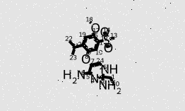 CCC1(N)N=C(N)C(Oc2cc(S(C)(=O)=O)c(OC)cc2C(C)C)=CN1